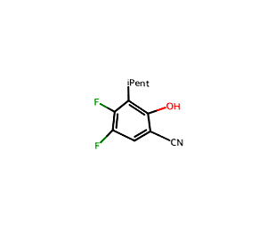 CCCC(C)c1c(O)c(C#N)cc(F)c1F